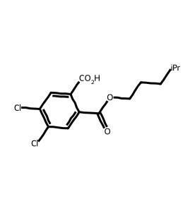 CC(C)CCCOC(=O)c1cc(Cl)c(Cl)cc1C(=O)O